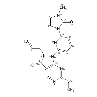 C=CCn1c(=O)c2cnc(SC)nc2n1-c1cccc(N2CCN(C)C2=O)n1